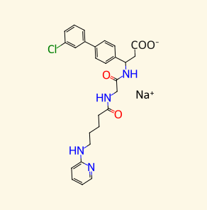 O=C([O-])CC(NC(=O)CNC(=O)CCCCNc1ccccn1)c1ccc(-c2cccc(Cl)c2)cc1.[Na+]